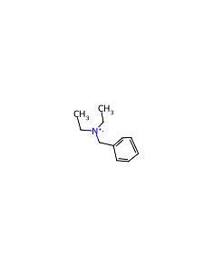 CC[N+](CC)Cc1ccccc1